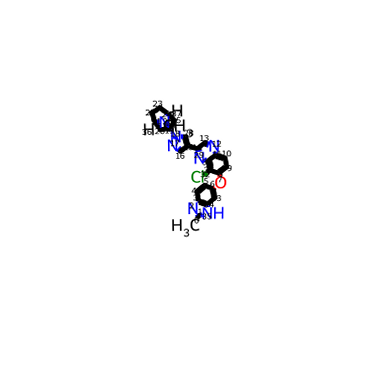 Cc1nc2ccc(Oc3ccc4ncc(-c5cnn(C6C[C@H]7CC[C@@H](C6)N7C)c5)nc4c3Cl)cc2[nH]1